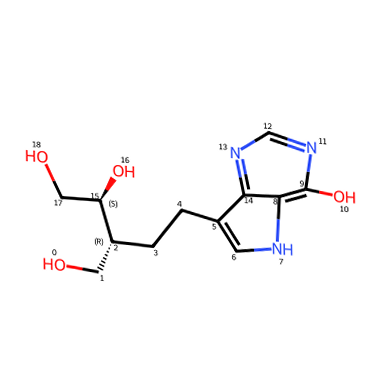 OC[C@@H](CCc1c[nH]c2c(O)ncnc12)[C@H](O)CO